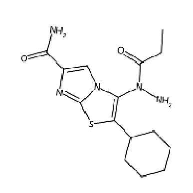 CCC(=O)N(N)c1c(C2CCCCC2)sc2nc(C(N)=O)cn12